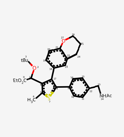 CCOC(=O)C(OC(C)(C)C)c1c(C)sc(-c2ccc(CNC(C)=O)cc2)c1-c1ccc2c(c1)CCCO2